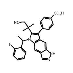 CC(c1ccccc1F)n1c(C(C)(C)CC#N)c(-c2ccc(C(=O)O)cc2)c2cc3[nH]ncc3cc21